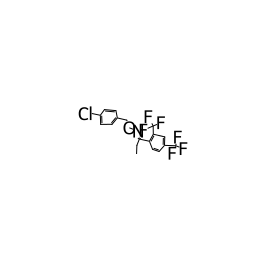 CC/C(=N\OCc1ccc(Cl)cc1)c1ccc(C(F)(F)F)cc1C(F)(F)F